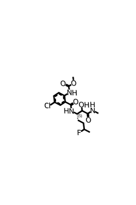 CNC(=O)C(O)[C@H](CCC(C)F)NC(=O)c1cc(Cl)ccc1NC(=O)OC